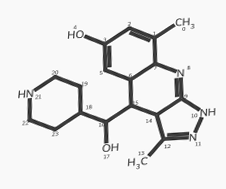 CC1=CC(O)=CC2C1N=C1NN=C(C)C1C2C(O)C1CCNCC1